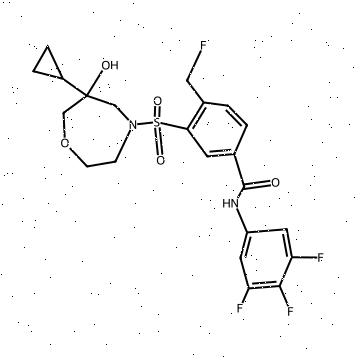 O=C(Nc1cc(F)c(F)c(F)c1)c1ccc(CF)c(S(=O)(=O)N2CCOCC(O)(C3CC3)C2)c1